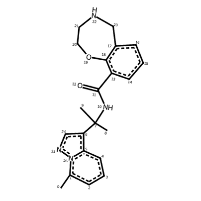 Cc1cccc2c(C(C)(C)NC(=O)c3cccc4c3OCCNC4)cnn12